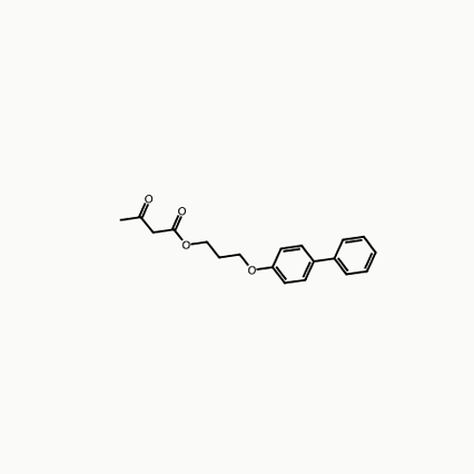 CC(=O)CC(=O)OCCCOc1ccc(-c2ccccc2)cc1